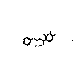 Cc1ccc(C(CCCc2ccccc2)OC(=O)O)c(C)c1C